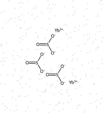 O=S([O-])[O-].O=S([O-])[O-].O=S([O-])[O-].[Yb+3].[Yb+3]